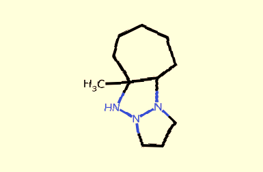 CC12CCCCCC1N1CCCN1N2